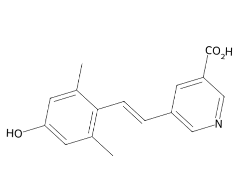 Cc1cc(O)cc(C)c1C=Cc1cncc(C(=O)O)c1